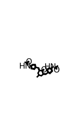 CC(=O)Nc1ccc(/C=C2/CC(C)C/C(=C\c3ccc(NC(C)=O)cc3)C2=O)cc1